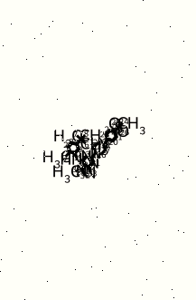 Cc1ccc(C(C)(C)C)cc1Nc1nc(N2CCN(c3ccc(S(C)(=O)=O)cc3)CC2)nc2ncn(C)c12